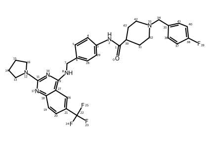 O=C(Nc1ccc(CNc2nc(N3CCCC3)nc3ccc(C(F)(F)F)cc23)cc1)C1CCN(Cc2ccc(F)cc2)CC1